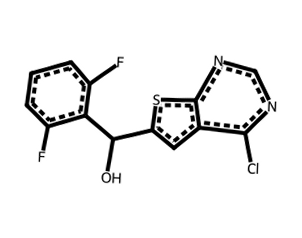 OC(c1cc2c(Cl)ncnc2s1)c1c(F)cccc1F